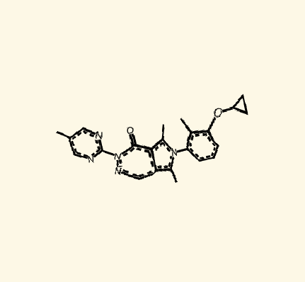 Cc1cnc(-n2ncc3c(C)n(-c4cccc(OC5CC5)c4C)c(C)c3c2=O)nc1